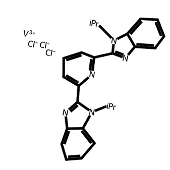 CC(C)n1c(-c2cccc(-c3nc4ccccc4n3C(C)C)n2)nc2ccccc21.[Cl-].[Cl-].[Cl-].[V+3]